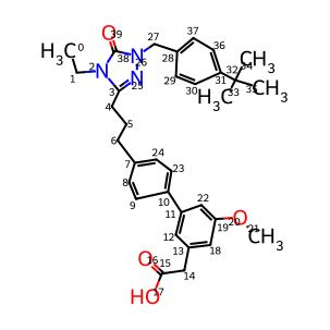 CCn1c(CCCc2ccc(-c3cc(CC(=O)O)cc(OC)c3)cc2)nn(Cc2ccc(C(C)(C)C)cc2)c1=O